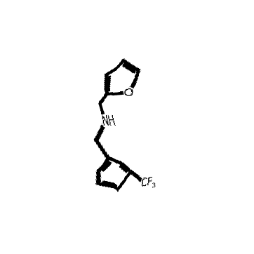 FC(F)(F)c1cccc(CNCc2ccco2)c1